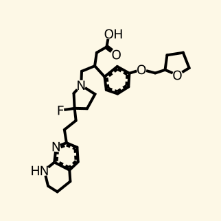 O=C(O)CC(CN1CCC(F)(CCc2ccc3c(n2)NCCC3)C1)c1cccc(OCC2CCCO2)c1